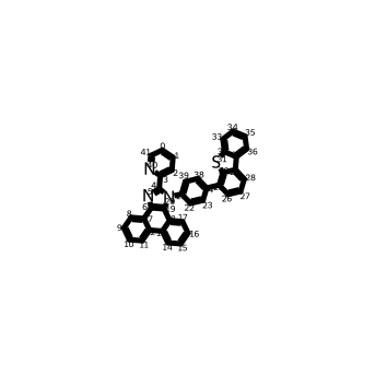 c1ccc(-c2nc3c4ccccc4c4ccccc4c3n2-c2ccc(-c3cccc4c3sc3ccccc34)cc2)nc1